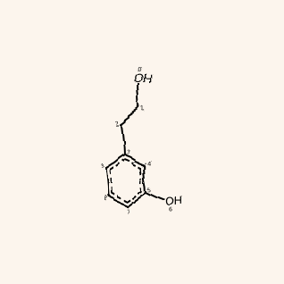 OCCc1[c]c(O)ccc1